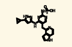 Nc1ncc(Cc2nccc3[nH]ccc23)c(Nc2cc(C3CC3)[nH]n2)n1.O=CO